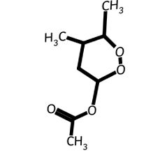 CC(=O)OC1CC(C)C(C)OO1